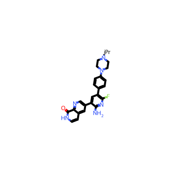 CC(C)N1CCN(c2ccc(-c3cc(-c4cnc5c(=O)[nH]ccc5c4)c(N)nc3F)cc2)CC1